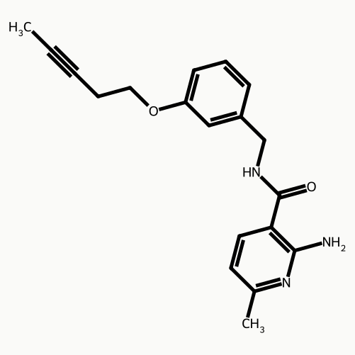 CC#CCCOc1cccc(CNC(=O)c2ccc(C)nc2N)c1